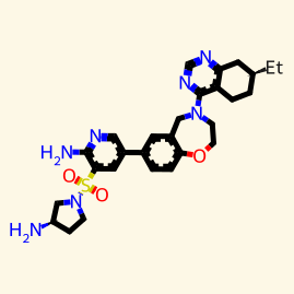 CC[C@H]1CCc2c(ncnc2N2CCOc3ccc(-c4cnc(N)c(S(=O)(=O)N5CC[C@@H](N)C5)c4)cc3C2)C1